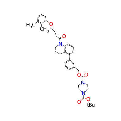 Cc1cccc(OCCCC(=O)N2CCCc3c(-c4cccc(COC(=O)N5CCN(C(=O)OC(C)(C)C)CC5)c4)cccc32)c1C